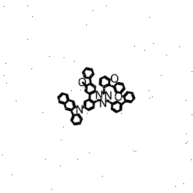 c1ccc2cc3c(cc2c1)c1ccccc1n3-c1ccc(-c2nc(-c3cccc4c3oc3ccccc34)nc(-c3cccc4oc5ccccc5c34)n2)c(-c2ccc3c(c2)oc2ccccc23)c1